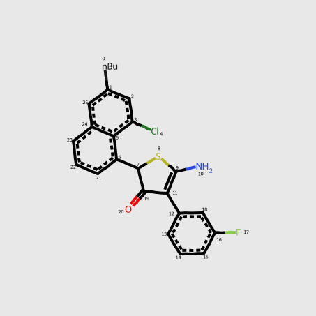 CCCCc1cc(Cl)c2c(C3SC(N)=C(c4cccc(F)c4)C3=O)cccc2c1